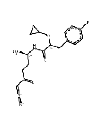 [N-]=[N+]=CC(=O)CC[C@H](NC(=O)[C@H](Cc1ccc(F)cc1)OC1CC1)C(=O)O